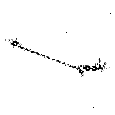 CCCN(OCC)C(=O)C1=Cc2ccc(-c3ccc(C(O)N4C[C@H](O)C[C@H]4C(=O)NCCOCCOCCOCCOCCOCCOCCOCCOCCOCCOCCC(=O)Oc4c(F)c(F)c(S(=O)(=O)O)c(F)c4F)cc3)cc2N=C(N)C1